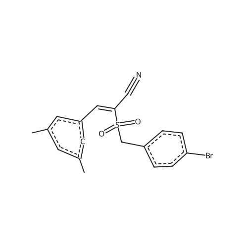 Cc1cc(C)cc(/C=C(/C#N)S(=O)(=O)Cc2ccc(Br)cc2)c1